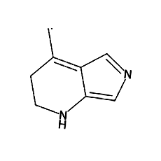 [CH2]C1=C2C=NC=C2NCC1